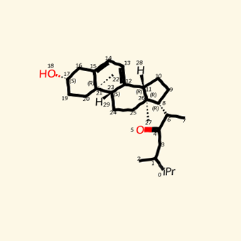 CC(C)C(C)CC(=O)C(C)[C@H]1CC[C@H]2C3=CC=C4C[C@@H](O)CC[C@]4(C)[C@H]3CC[C@]12C